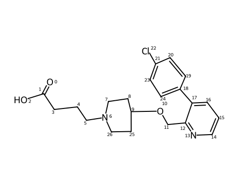 O=C(O)CCCN1CCC(OCc2ncccc2-c2ccc(Cl)cc2)CC1